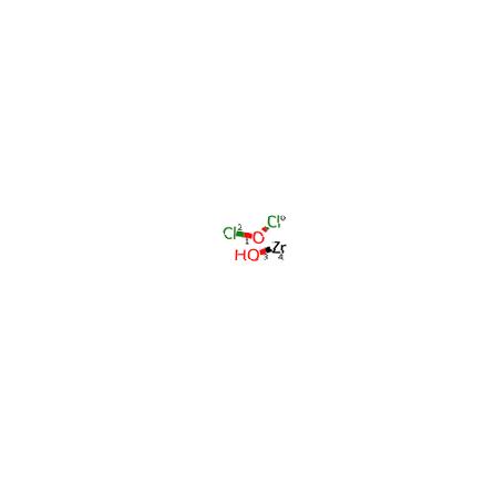 ClOCl.[OH][Zr]